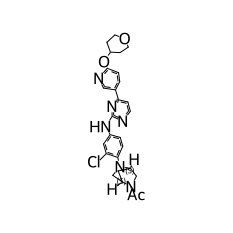 CC(=O)N1C[C@@H]2C[C@H]1CN2c1ccc(Nc2nccc(-c3ccc(OC4CCOCC4)nc3)n2)cc1Cl